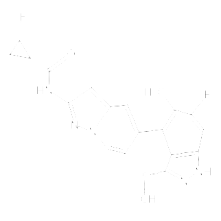 CSc1n[nH]c2cc(F)c(C)c(-c3ccn4nc(NC(=O)[C@@H]5C[C@@H]5F)cc4c3)c12